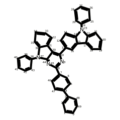 c1ccc(-c2ccc(-c3nc(-c4ccc5c(c4)c4ccccc4n5-c4ccccc4)c4c5ccccc5n(-c5ccccc5)c4n3)cc2)cc1